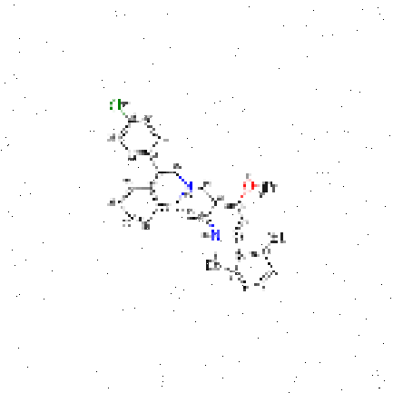 CCc1cccc(CC)c1-c1cc(OC(C)C)c(CN(CCc2ccc(Cl)cc2)Cc2ccccc2)c(C)n1